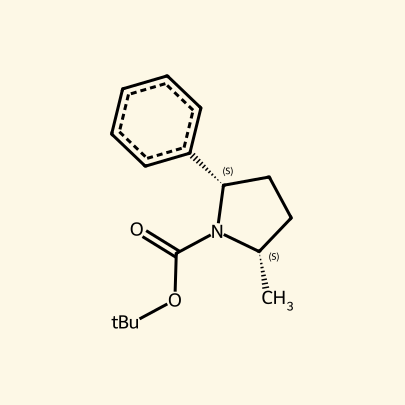 C[C@H]1CC[C@@H](c2ccccc2)N1C(=O)OC(C)(C)C